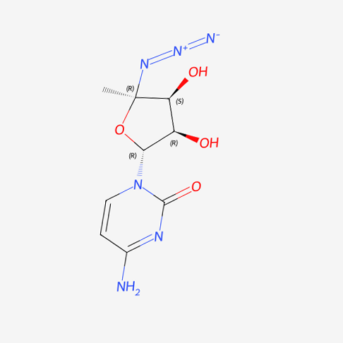 C[C@@]1(N=[N+]=[N-])O[C@@H](n2ccc(N)nc2=O)[C@H](O)[C@@H]1O